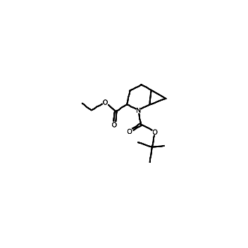 CCOC(=O)C1CCC2CC2N1C(=O)OC(C)(C)C